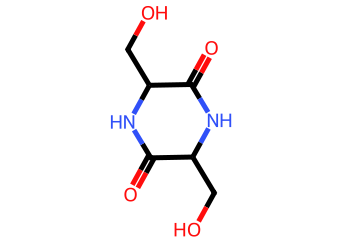 O=C1NC(CO)C(=O)NC1CO